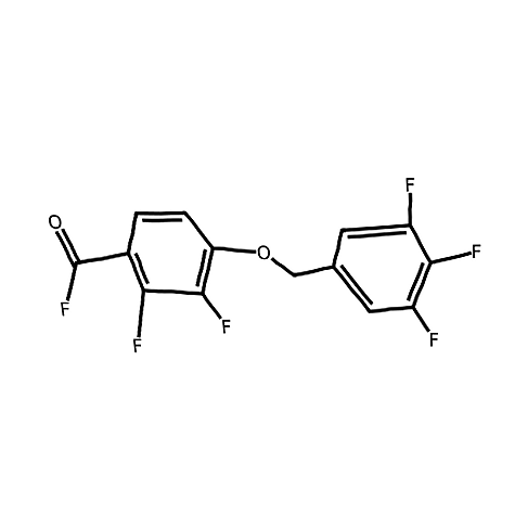 O=C(F)c1ccc(OCc2cc(F)c(F)c(F)c2)c(F)c1F